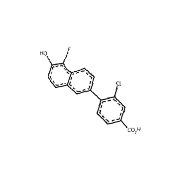 O=C(O)c1ccc(-c2ccc3c(F)c(O)ccc3c2)c(Cl)c1